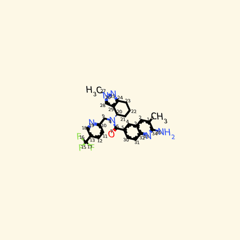 Cc1cc2cc(C(=O)N(Cc3ccc(C(F)(F)F)cn3)[C@H]3CCCc4nn(C)cc43)ccc2nc1N